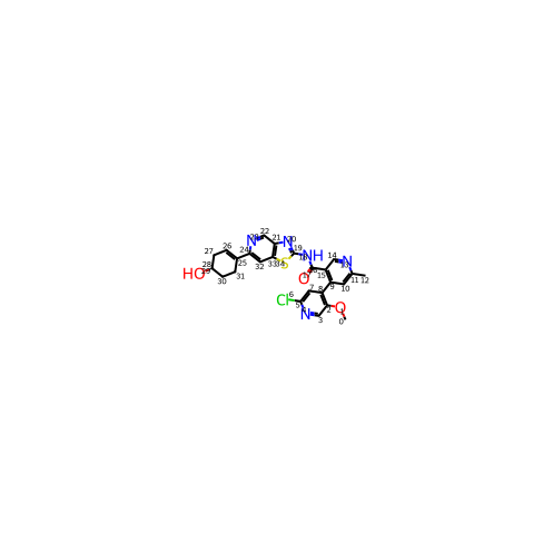 COc1cnc(Cl)cc1-c1cc(C)ncc1C(=O)Nc1nc2cnc(C3=CC[C@H](O)CC3)cc2s1